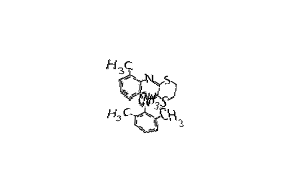 Cc1cccc(C)c1/N=C1\SCCS\C1=N\c1c(C)cccc1C